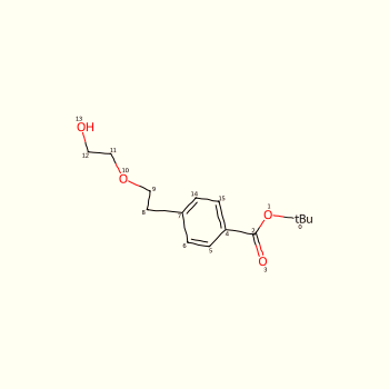 CC(C)(C)OC(=O)c1ccc(CCOCCO)cc1